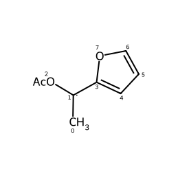 C[C](OC(C)=O)c1ccco1